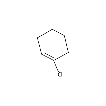 ClC1=[C]CCCC1